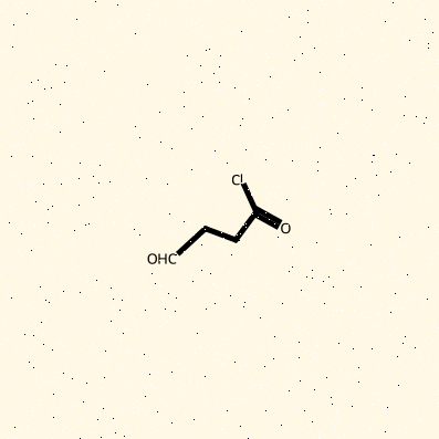 O=CCCC(=O)Cl